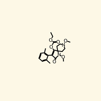 CCOC(=O)OC1=C(c2c(C)cccc2C)C(=O)N(OC)C12CCN(OC)CC2